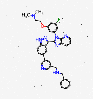 CN(C)CCOc1cc(F)cc(-n2c(-c3n[nH]c4ccc(-c5cncc(CNCc6ccccc6)c5)cc34)nc3cccnc32)c1